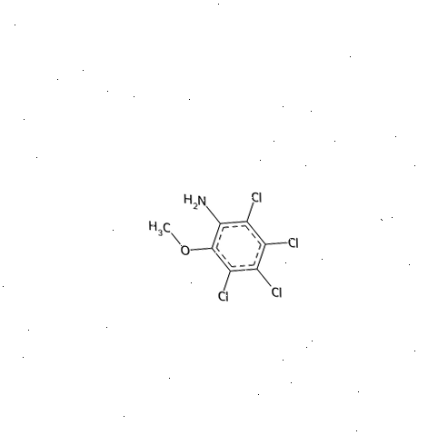 COc1c(N)c(Cl)c(Cl)c(Cl)c1Cl